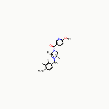 CCOc1ccc(C(=O)N2C[C@@H]3C[C@H]2CN3[C@@H](C)c2ccc(OC)c(C)c2C)cn1